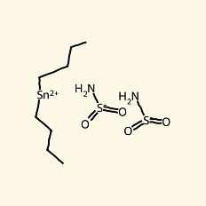 CCC[CH2][Sn+2][CH2]CCC.N[S-](=O)=O.N[S-](=O)=O